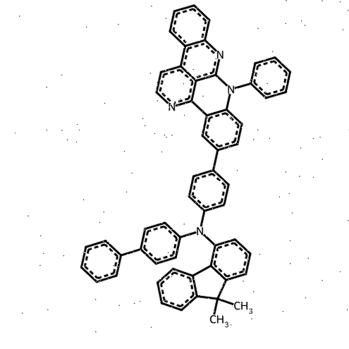 CC1(C)c2ccccc2-c2c(N(c3ccc(-c4ccccc4)cc3)c3ccc(-c4ccc5c(c4)-c4nccc6c4c(nc4ccccc46)N5c4ccccc4)cc3)cccc21